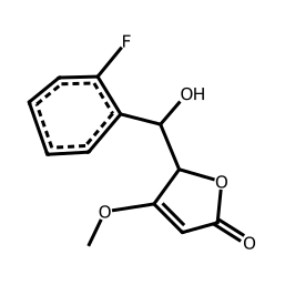 COC1=CC(=O)OC1C(O)c1ccccc1F